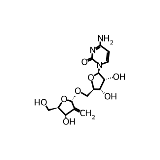 C=C1[C@@H](OC[C@H]2O[C@@H](n3ccc(N)nc3=O)[C@H](O)[C@@H]2O)O[C@H](CO)[C@H]1O